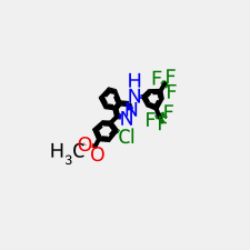 COC(=O)c1ccc(-c2nnc(Nc3cc(C(F)(F)F)cc(C(F)(F)F)c3)c3ccccc23)c(Cl)c1